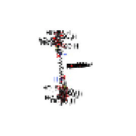 O=C(CCCCCCCCCCCCC(=O)Nc1ccc(S[C@@H]2O[C@H](COS(=O)(=O)O)[C@@H](O[C@H]3O[C@H](COS(=O)(=O)O)[C@@H](OS(=O)(=O)O)[C@H](OS(=O)(=O)O)[C@H]3OS(=O)(=O)O)[C@H](OS(=O)(=O)O)[C@H]2OS(=O)(=O)O)cc1)Nc1ccc(S[C@@H]2O[C@H](COS(=O)(=O)O)[C@@H](O[C@H]3O[C@H](COS(=O)(=O)O)[C@@H](OS(=O)(=O)O)[C@H](OS(=O)(=O)O)[C@H]3OS(=O)(=O)O)[C@H](OS(=O)(=O)O)[C@H]2OS(=O)(=O)O)cc1.[Na+].[Na+].[Na+].[Na+].[Na+].[Na+].[Na+].[Na+].[Na+].[Na+].[Na+].[Na+].[Na+].[Na+]